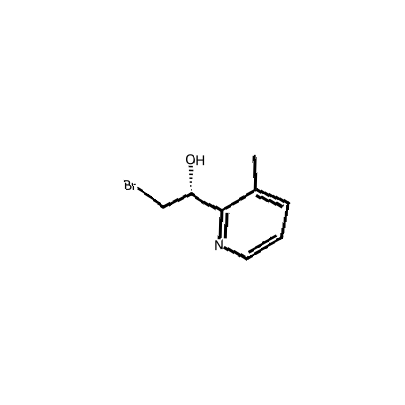 Cc1cccnc1[C@@H](O)CBr